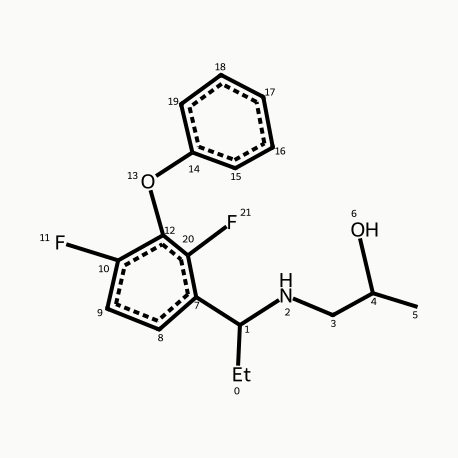 CCC(NCC(C)O)c1ccc(F)c(Oc2ccccc2)c1F